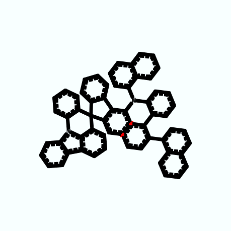 c1ccc(-c2cccc3ccccc23)c(-c2ccccc2N(c2cccc3c2-c2ccccc2C32c3ccccc3-n3c4ccccc4c4cccc2c43)c2cccc3ccccc23)c1